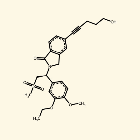 CCOc1cc([C@@H](CS(C)(=O)=O)N2Cc3cc(C#CCCCO)ccc3C2=O)ccc1OC